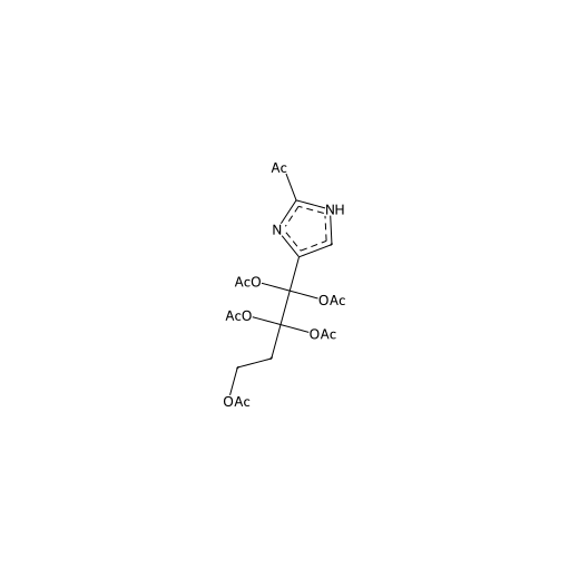 CC(=O)OCCC(OC(C)=O)(OC(C)=O)C(OC(C)=O)(OC(C)=O)c1c[nH]c(C(C)=O)n1